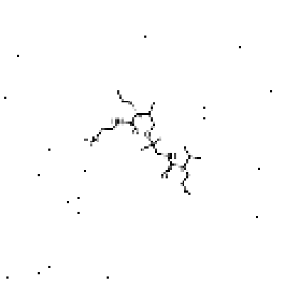 CCC[C@@H](C(=O)NCC(C)(C)OCC(C)[C@@H](CCC)C(=O)NCCN)C(C)C